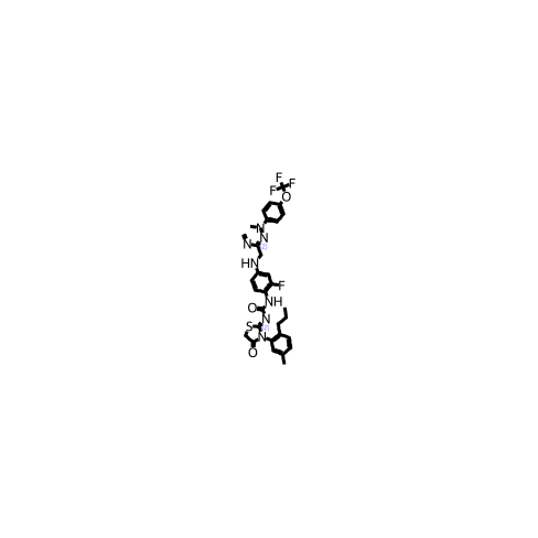 C=N/C(CNc1ccc(NC(=O)/N=C2\SCC(=O)N2c2cc(C)ccc2CCC)c(F)c1)=N\N(C)c1ccc(OC(F)(F)F)cc1